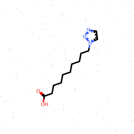 O=C(O)CCCCCCCCCn1ccnn1